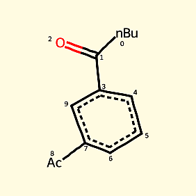 CCCCC(=O)c1cccc(C(C)=O)c1